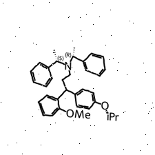 COc1ccccc1C(CCN([C@H](C)c1ccccc1)[C@@H](C)c1ccccc1)c1ccc(OC(C)C)cc1